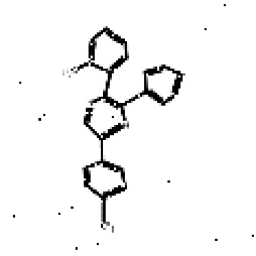 Cc1ccccc1-c1ncc(-c2ccc(C(F)(F)F)cc2)nc1-c1ccccc1